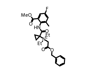 CC[N+](CC)(CC(=O)OCc1ccccc1)C1(C(=O)Nc2c(C)cc(F)cc2C(=O)OC)CC1